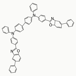 C1=CC2OC(c3ccc(N(c4ccccc4)c4ccc(-c5ccc(N(c6ccccc6)c6ccc(-c7nc8cc(-c9ccccc9)ccc8o7)cc6)cc5)cc4)cc3)=NC2C=C1c1ccccc1